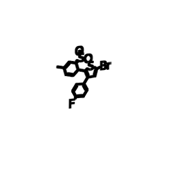 CC1=CC(=S(=O)=O)C(c2sc(Br)cc2-c2ccc(F)cc2)C=C1